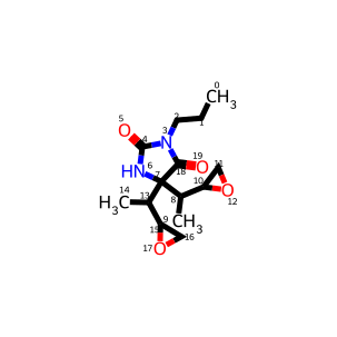 CCCN1C(=O)NC(C(C)C2CO2)(C(C)C2CO2)C1=O